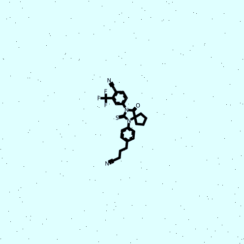 N#CCCCc1ccc(N2C(=S)N(c3ccc(C#N)c(C(F)(F)F)c3)C(=O)C23CCCC3)cc1